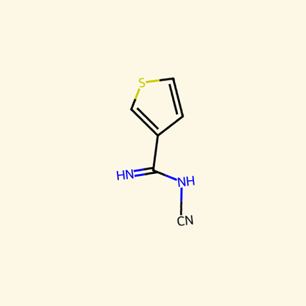 N#CNC(=N)c1ccsc1